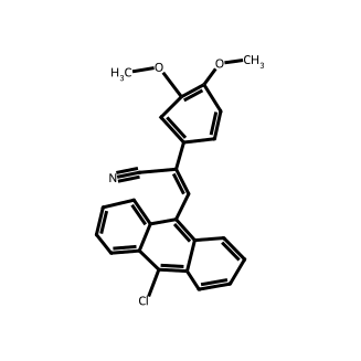 COc1ccc(/C(C#N)=C/c2c3ccccc3c(Cl)c3ccccc23)cc1OC